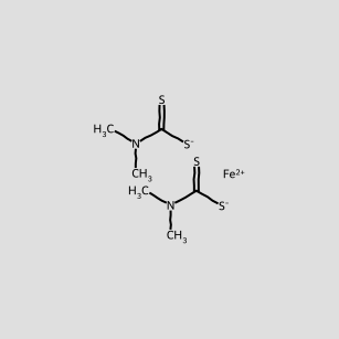 CN(C)C(=S)[S-].CN(C)C(=S)[S-].[Fe+2]